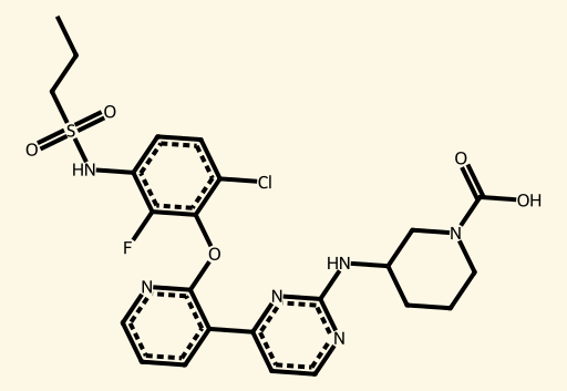 CCCS(=O)(=O)Nc1ccc(Cl)c(Oc2ncccc2-c2ccnc(NC3CCCN(C(=O)O)C3)n2)c1F